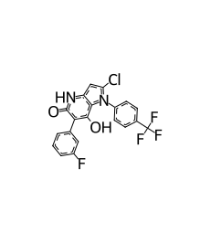 O=c1[nH]c2cc(Cl)n(-c3ccc(C(F)(F)F)cc3)c2c(O)c1-c1cccc(F)c1